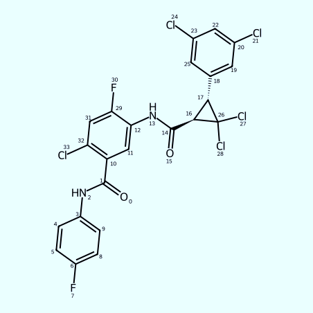 O=C(Nc1ccc(F)cc1)c1cc(NC(=O)[C@H]2[C@H](c3cc(Cl)cc(Cl)c3)C2(Cl)Cl)c(F)cc1Cl